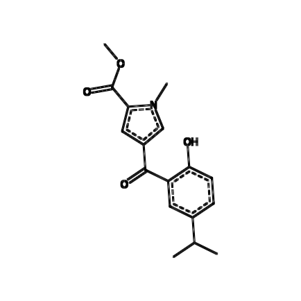 COC(=O)c1cc(C(=O)c2cc(C(C)C)ccc2O)cn1C